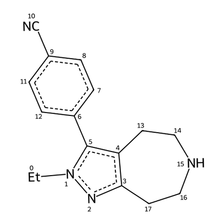 CCn1nc2c(c1-c1ccc(C#N)cc1)CCNCC2